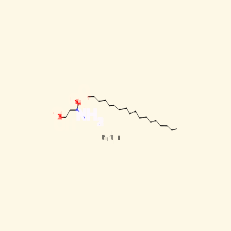 CCCCCCCCCCCCCCCCCC(=O)OC(=O)C(N)CCC(=O)O.[KH].[KH]